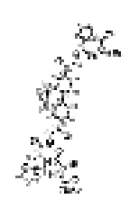 COC(=O)NC(C(=O)N1CC2(CC1C(=O)OCC(=O)c1ccc3c(c1)C(F)(F)C(F)(F)c1cc(C(=O)COC(=O)c4cccn4C(=O)OC(C)(C)C)ccc1-3)OCCO2)C(C)C